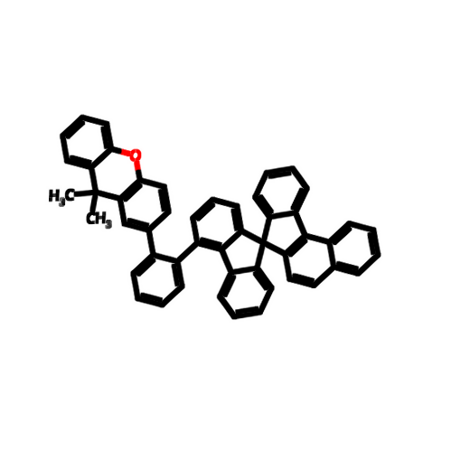 CC1(C)c2ccccc2Oc2ccc(-c3ccccc3-c3cccc4c3-c3ccccc3C43c4ccccc4-c4c3ccc3ccccc43)cc21